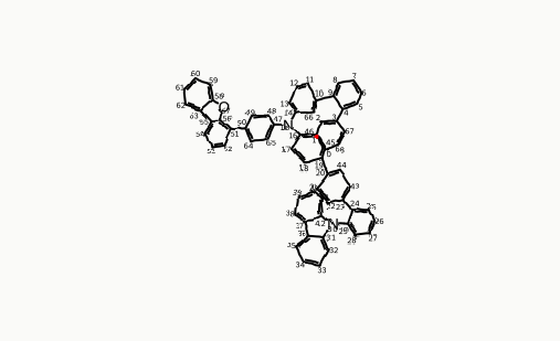 c1ccc(-c2ccccc2-c2cccc(N(c3ccc(-c4ccc(-c5ccccc5-n5c6ccccc6c6ccccc65)cc4)cc3)c3ccc(-c4cccc5c4oc4ccccc45)cc3)c2)cc1